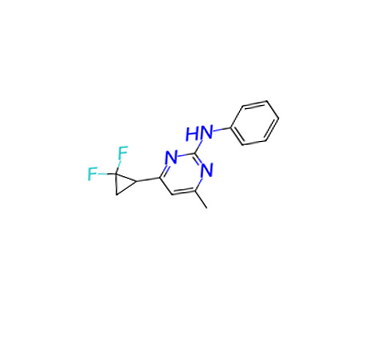 Cc1cc(C2CC2(F)F)nc(Nc2ccccc2)n1